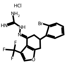 Cl.N=C(N)N/N=C1\CC(c2ccccc2Br)Cc2occ(C(F)(F)F)c21